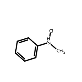 C[SiH](Cl)c1ccccc1